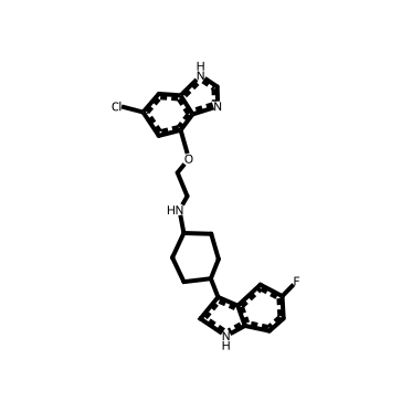 Fc1ccc2[nH]cc(C3CCC(NCCOc4cc(Cl)cc5[nH]cnc45)CC3)c2c1